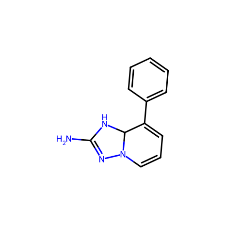 NC1=NN2C=CC=C(c3ccccc3)C2N1